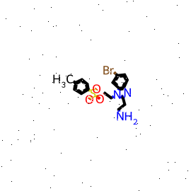 Cc1ccc(S(=O)(=O)OCCn2c(CCN)nc3ccc(Br)cc32)cc1